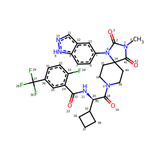 CN1C(=O)N(c2ccc3[nH]ncc3c2)C2(CCN(C(=O)[C@H](NC(=O)c3cc(C(F)(F)F)ccc3F)C3CCC3)CC2)C1=O